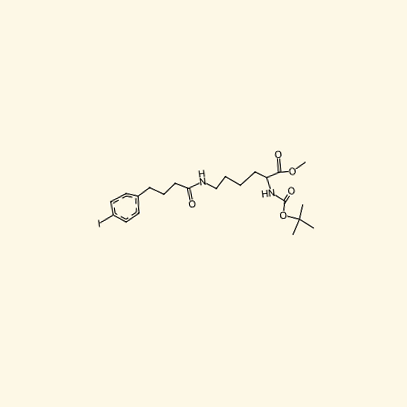 COC(=O)C(CCCCNC(=O)CCCc1ccc(I)cc1)NC(=O)OC(C)(C)C